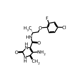 C=C1NC(=O)NC(C(=O)N[C@H](C)COc2ccc(Cl)cc2F)=C1N